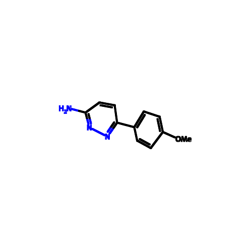 COc1ccc(-c2ccc(N)nn2)cc1